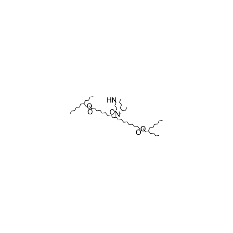 CCCCCCC(CCCC)COC(=O)CCCCCCCCC(CCCCCCCCC(=O)OC[C@H](CCCC)CCCCCC)N(C[C@@H](CC)CCCC)C(=O)CCCNC